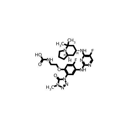 Cn1nnn(-c2cc(Nc3ncc(F)c(N[C@@H]4C[C@H]5CCCN5C(C)(C)C4)n3)c(F)cc2OCCNC(=O)O)c1=O